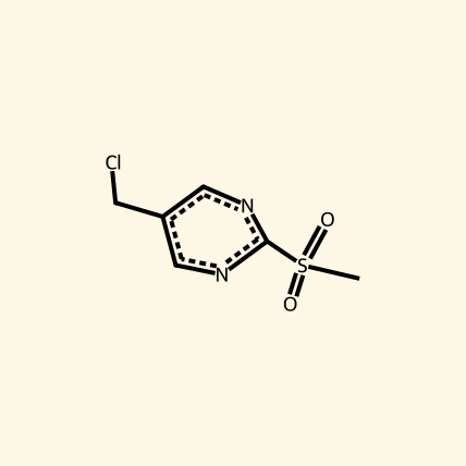 CS(=O)(=O)c1ncc(CCl)cn1